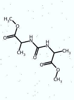 COC(=O)C(C)NC(=O)NC(C)C(=O)OC